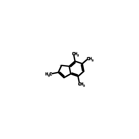 CC1=Cc2c(C)cc(C)c(C)c2[CH]1